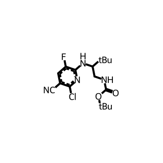 CC(C)(C)OC(=O)NCC(Nc1nc(Cl)c(C#N)cc1F)C(C)(C)C